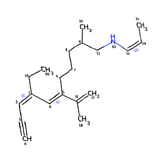 C#C/C=C(\C=C(/CCCC(C)CN/C=C\C)C(=C)C)CC